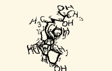 CC(CO)C(O)CC[C@@H](C)[C@H]1CC[C@H]2[C@@H]3[C@H](O)C[C@@H]4C[C@H](O)CC[C@]4(C)[C@H]3C[C@H](O)[C@]12C